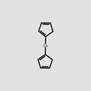 C1=CC[C]([Co][C]2=CC=CC2)=C1